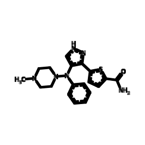 CN1CCN(N(c2ccccc2)c2c[nH]nc2-c2ccc(C(N)=O)s2)CC1